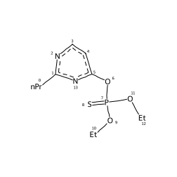 CCCc1nccc(OP(=S)(OCC)OCC)n1